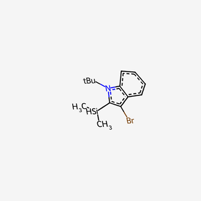 C[SiH](C)c1c(Br)c2ccccc2n1C(C)(C)C